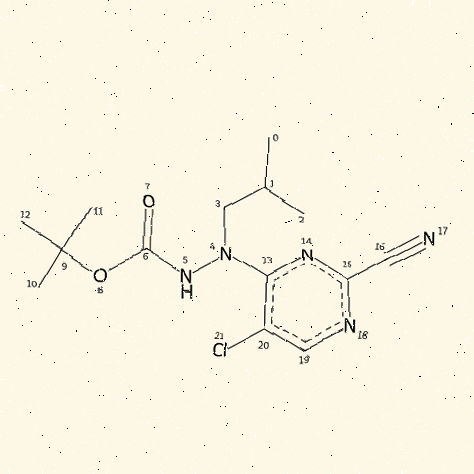 CC(C)CN(NC(=O)OC(C)(C)C)c1nc(C#N)ncc1Cl